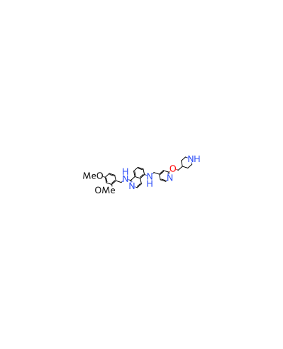 COc1ccc(CNc2nccc3c(NCc4ccnc(OCC5CCNCC5)c4)cccc23)c(OC)c1